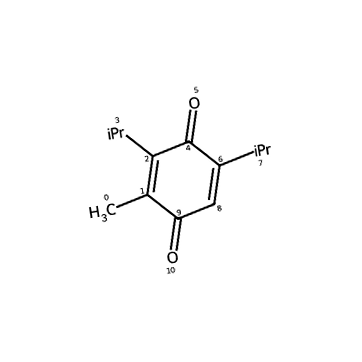 CC1=C(C(C)C)C(=O)C(C(C)C)=CC1=O